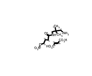 CC(C)(CN)CNC(=O)CCCO[N+](=O)[O-].O=C(O)C=CC(=O)O